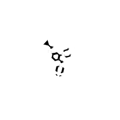 O=C(Nc1ccc(C(=O)N2C=CS(=O)(=O)C=C2)c(N2CCOC(C(F)(F)F)C2)c1)C1CC1